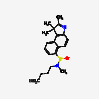 CCOC(=O)CCCN(C)[S+]([O-])c1cccc2c3c(ccc12)N=C(C)C3(C)C